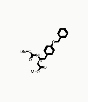 COC(=O)C[C@H](Cc1ccc(OCc2ccccc2)cc1)NC(=O)OC(C)(C)C